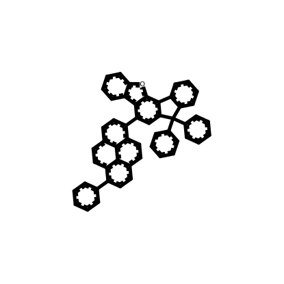 c1ccc(-c2ccc3ccc4c(-c5cc6c(c7oc8ccccc8c57)-c5ccccc5C6(c5ccccc5)c5ccccc5)ccc5ccc2c3c54)cc1